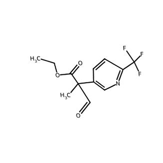 CCOC(=O)C(C)(C=O)c1ccc(C(F)(F)F)nc1